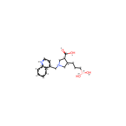 O=C(O)C1CN(Cc2ccnc3ccccc23)CC1CCCB(O)O